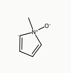 C[N+]1([O-])[C]=CC=C1